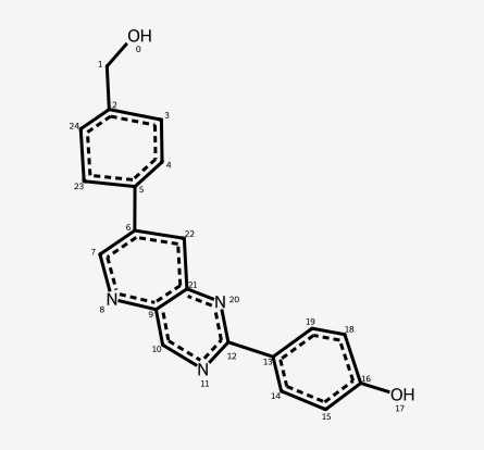 OCc1ccc(-c2cnc3cnc(-c4ccc(O)cc4)nc3c2)cc1